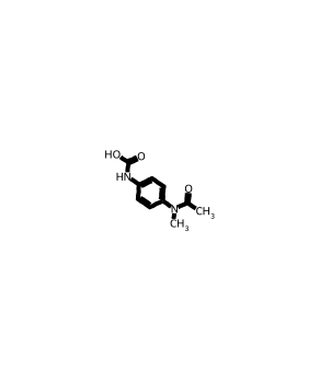 CC(=O)N(C)c1ccc(NC(=O)O)cc1